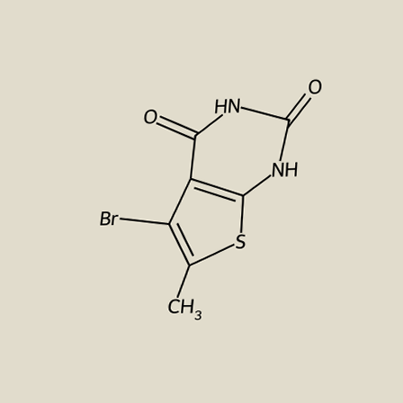 Cc1sc2[nH]c(=O)[nH]c(=O)c2c1Br